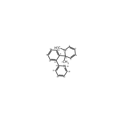 CN1C=CC=CC1(C)c1ccccc1-c1ccccn1